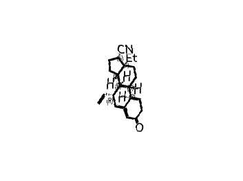 C=C[C@H]1CC2=CC(=O)CC[C@@H]2[C@H]2CC[C@]3(CC)[C@@H](C#N)CC[C@H]3[C@@H]21